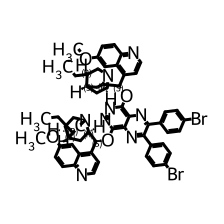 CC[C@H]1CN2CC[C@H]1C[C@@H]2[C@@H](Oc1nnc(O[C@@H](c2ccnc3ccc(OC)cc23)[C@H]2C[C@@H]3CCN2C[C@@H]3CC)c2nc(-c3ccc(Br)cc3)c(-c3ccc(Br)cc3)nc12)c1ccnc2ccc(OC)cc12